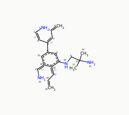 C=C/C=C(\C=C/N)c1cc(NCC(C)(C)N)c(=C/C=C)/c(=C\N)c1